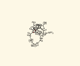 CC[C@H](C)[C@@H]1NC(=O)CNC(=O)C2Cc3c(n(CCC(=O)O)c4cc(OC)ccc34)[S@+]([O-])CC(NC(=O)CNC1=O)C(=O)N[C@@H](CC(N)=O)C(=O)N1CC(O)C[C@H]1C(=O)N[C@@H]([C@@H](C)[C@@H](O)CO)C(=O)N2